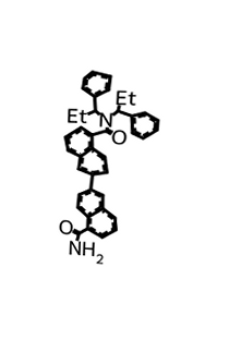 CCC(c1ccccc1)N(C(=O)c1cccc2cc(-c3ccc4c(C(N)=O)cccc4c3)ccc12)C(CC)c1ccccc1